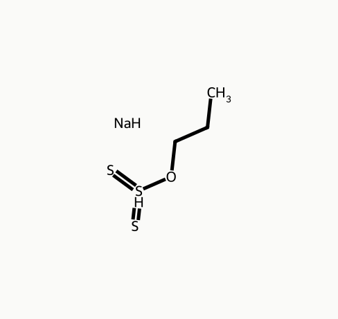 CCCO[SH](=S)=S.[NaH]